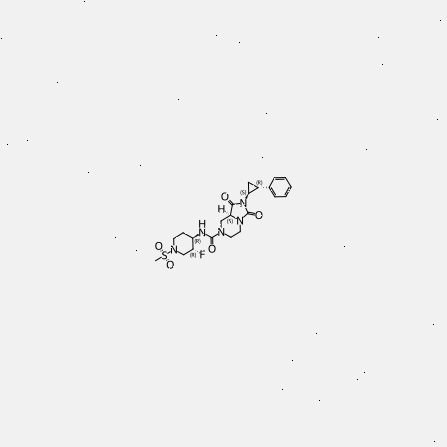 CS(=O)(=O)N1CC[C@@H](NC(=O)N2CCN3C(=O)N([C@H]4C[C@@H]4c4ccccc4)C(=O)[C@@H]3C2)[C@H](F)C1